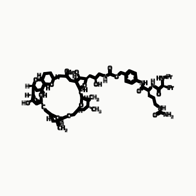 C=C1C[C@@H]2CC[C@]34C[C@@H](O)[C@H](O3)[C@H]3C[C@@H](O4)[C@H]4O[C@H](CC[C@@H]4O3)CC(=O)C[C@@H]3[C@@H](OC)[C@@H](C[C@H](O)CNC(=O)OCc4ccc(NC(=O)[C@H](CCCNC(N)=O)NC(=O)[C@@H](NC(C)C)C(C)C)cc4)O[C@H]3C[C@H]3O[C@@H](CC[C@@H]1O2)C[C@@H](C)C3=C